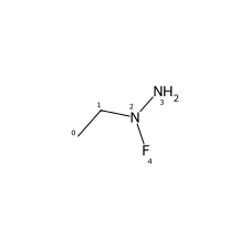 CCN(N)F